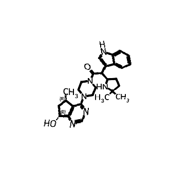 C[C@@H]1C[C@@H](O)c2ncnc(N3CCN(C(=O)C(c4c[nH]c5ccccc45)C4CCC(C)(C)N4)CC3)c21